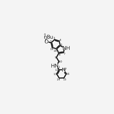 CCCCOc1ccc2[nH]cc(CCNC3=CCCC=N3)c2c1